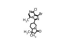 Cc1cnc(Cl)c2c(Br)nc(C3CCC4N(C3)C(=O)CC4(C)C)n12